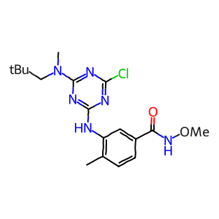 CONC(=O)c1ccc(C)c(Nc2nc(Cl)nc(N(C)CC(C)(C)C)n2)c1